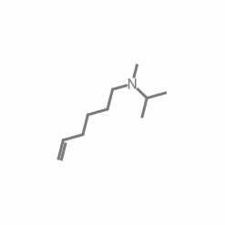 C=CCCCCN(C)C(C)C